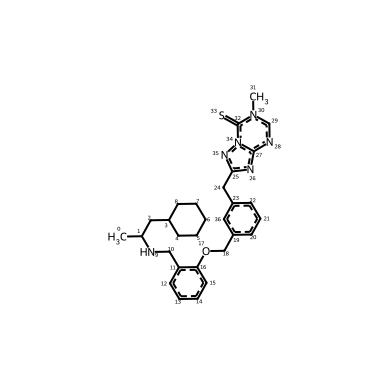 CC(CC1CCCCC1)NCc1ccccc1OCc1cccc(Cc2nc3ncn(C)c(=S)n3n2)c1